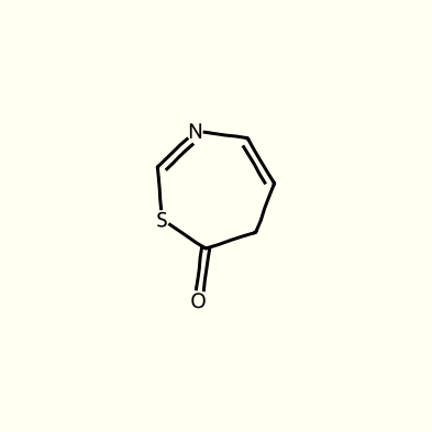 O=C1CC=CN=CS1